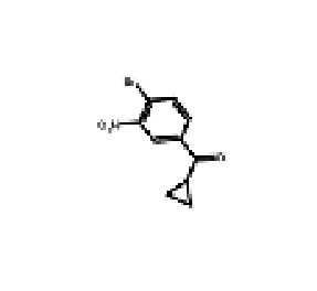 O=C(c1ccc(Br)c([N+](=O)[O-])c1)C1CC1